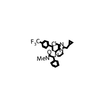 CNC(=O)[C@@H](c1ccccc1)N1CCn2c(CC3CC3)nc(Cl)c2[C@@H]1CCc1ccc(C(F)(F)F)cc1